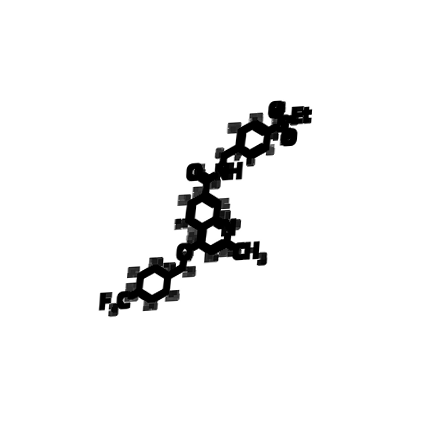 CCS(=O)(=O)c1ccc(CNC(=O)c2ccc3c(OCC4CCC(C(F)(F)F)CC4)cc(C)nc3c2)cc1